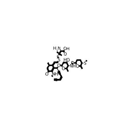 C#C/C=C\C#C[C@H](OC1CC(O)[C@H](NOC2CC[C@H](SC)C(C)O2)C(C)O1)C1=C(NC)C(=O)CC(C)/C1=C/CSSC(C)(C)[C@H](N)C(=O)O